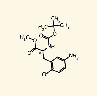 COC(=O)[C@H](Cc1cc(N)ccc1Cl)NC(=O)OC(C)(C)C